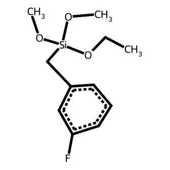 CCO[Si](Cc1cccc(F)c1)(OC)OC